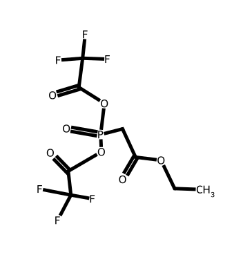 CCOC(=O)CP(=O)(OC(=O)C(F)(F)F)OC(=O)C(F)(F)F